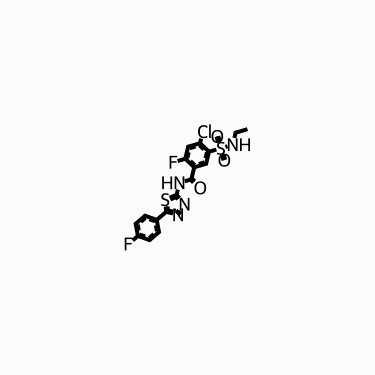 CCNS(=O)(=O)c1cc(C(=O)Nc2nnc(-c3ccc(F)cc3)s2)c(F)cc1Cl